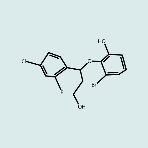 OCCC(Oc1c(O)cccc1Br)c1ccc(Cl)cc1F